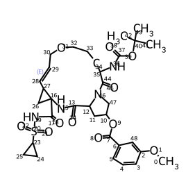 COc1cccc(C(=O)OC2CC3C(=O)NC4(C(=O)NS(=O)(=O)C5CC5)CC4/C=C/COCCCC(NC(=O)OC(C)(C)C)C(=O)N3C2)c1